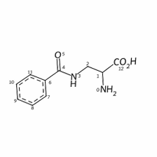 NC(CNC(=O)c1ccccc1)C(=O)O